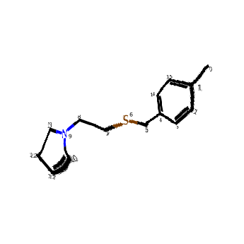 Cc1ccc(CSCCN2C=CCC2)cc1